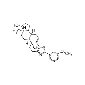 COc1cccc(-c2nc3c(s2)C2=CC[C@H]4[C@@H]5CC[C@H](O)[C@@]5(C)CC[C@@H]4[C@@]2(C)CC3)c1